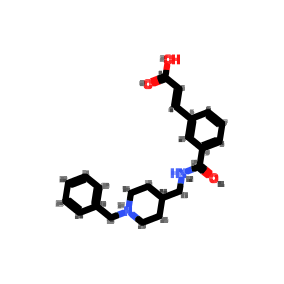 O=C(O)C=Cc1cccc(C(=O)NCC2CCN(Cc3ccccc3)CC2)c1